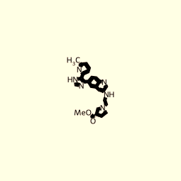 COC(=O)[C@@H]1CCN(CCNc2cnc3ccc(-c4nc[nH]c4-c4cccc(C)n4)cc3c2)C1